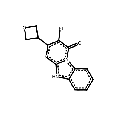 CCc1c(C2COC2)nc2[nH]c3ccccc3n2c1=O